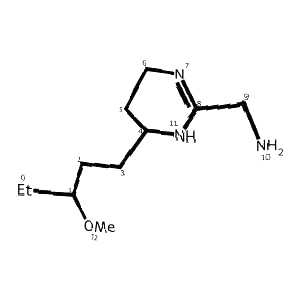 CCC(CCC1CCN=C(CN)N1)OC